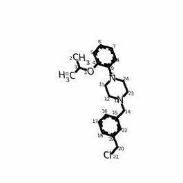 CC(C)Oc1ccccc1N1CCN(Cc2cccc(CCl)c2)CC1